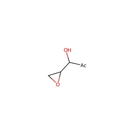 CC(=O)C(O)C1CO1